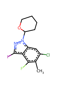 Cc1c(Cl)cc2c(c(I)nn2C2CCCCO2)c1F